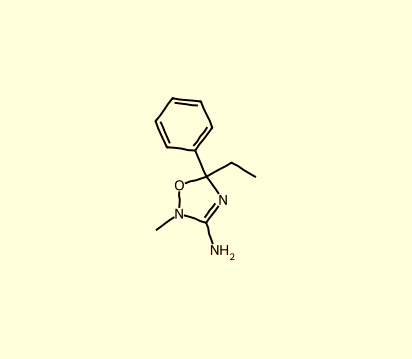 CCC1(c2ccccc2)N=C(N)N(C)O1